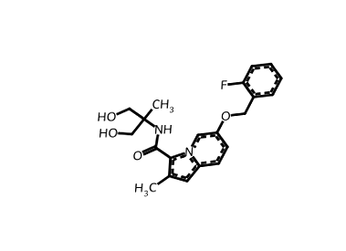 Cc1cc2ccc(OCc3ccccc3F)cn2c1C(=O)NC(C)(CO)CO